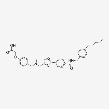 CCCCCc1ccc(CNC(=O)c2ccc(-c3nc(CNCc4ccc(OCC(=O)O)cc4)cs3)cc2)cc1